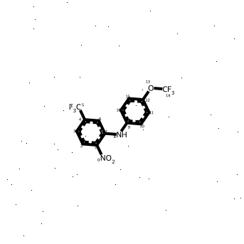 O=[N+]([O-])c1ccc(C(F)(F)F)cc1Nc1ccc(OC(F)(F)F)cc1